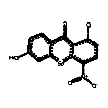 O=c1c2ccc(O)cc2[se]c2c([N+](=O)[O-])ccc(Cl)c12